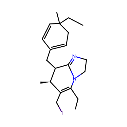 CCC1=C(CI)[C@@H](C)C(CC2=CCC(C)(CC)C=C2)C2=NCCN21